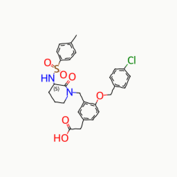 Cc1ccc(S(=O)(=O)N[C@H]2CCCN(Cc3cc(CC(=O)O)ccc3OCc3ccc(Cl)cc3)C2=O)cc1